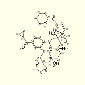 C[C@]12C[C@H](c3ccc(C(=O)C4CC4)cc3)C3=C4CCC5(C[C@]4(O)CC[C@H]3[C@@H]1CC[C@@]2(O)/C=C\COC1CCCCO1)OCCO5